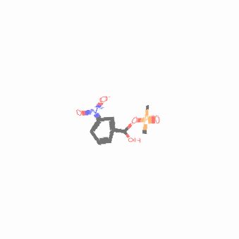 CP(C)(=O)OC(O)c1cccc([N+](=O)[O-])c1